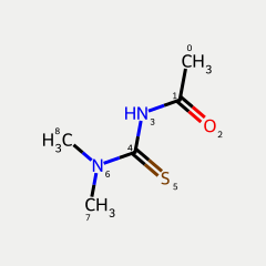 CC(=O)NC(=S)N(C)C